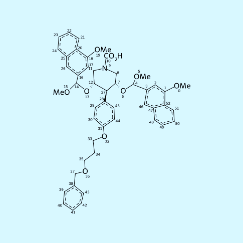 COc1cc(C(OC)O[C@H]2CN(C(=O)O)C[C@@H](OC(OC)c3cc(OC)c4ccccc4c3)[C@@H]2c2ccc(OCCCOCc3ccccc3)cc2)cc2ccccc12